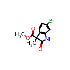 COC(=O)C1(C)C(=O)Nc2cc(Br)ccc21